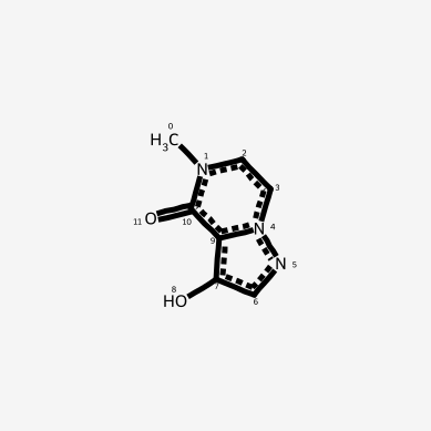 Cn1ccn2ncc(O)c2c1=O